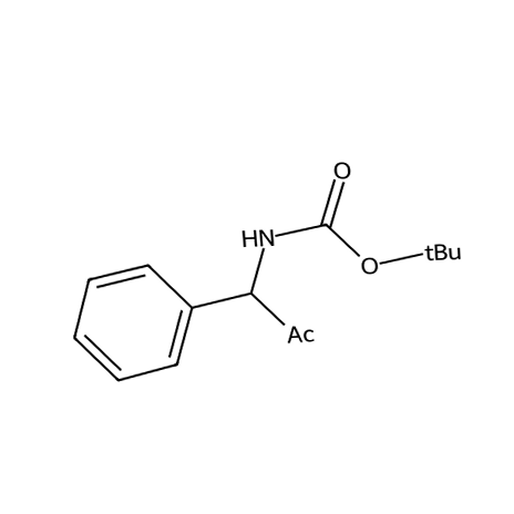 CC(=O)C(NC(=O)OC(C)(C)C)c1ccccc1